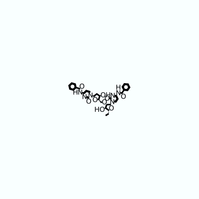 CC[C@H]1O[C@@H](n2ccc(NC(=O)c3ccccc3)nc2=O)C(OC[C@H]2O[C@@H](n3ccc(NC(=O)c4ccccc4)nc3=O)C[C@H]2O)[C@H]1O